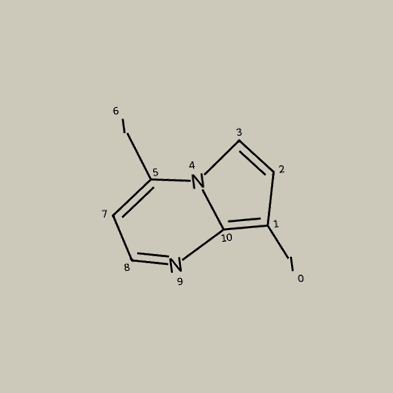 Ic1ccn2c(I)ccnc12